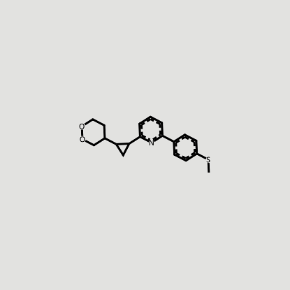 CSc1ccc(-c2cccc(C3CC3C3CCOOC3)n2)cc1